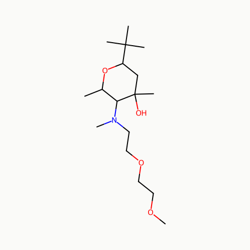 COCCOCCN(C)C1C(C)OC(C(C)(C)C)CC1(C)O